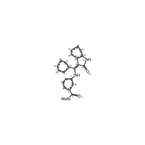 CNC(=O)c1cccc(N/C(=C2\C(=O)Nc3ccccc32)c2ccccc2)c1